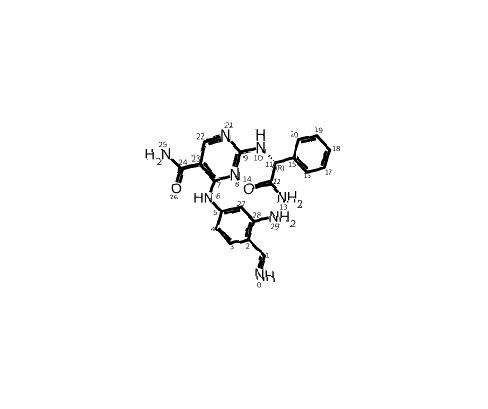 N=Cc1ccc(Nc2nc(N[C@@H](C(N)=O)c3ccccc3)ncc2C(N)=O)cc1N